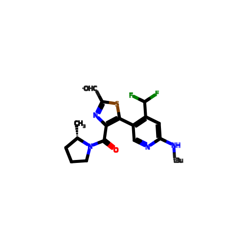 C[C@H]1CCCN1C(=O)c1nc([C]=O)sc1-c1cnc(NC(C)(C)C)cc1C(F)F